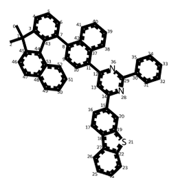 CC1(C)c2cccc(-c3ccc(-c4cc(-c5ccc6c(c5)sc5ccccc56)nc(-c5ccccc5)n4)c4ccccc34)c2-c2c1ccc1ccccc21